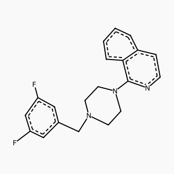 Fc1cc(F)cc(CN2CCN(c3nccc4ccccc34)CC2)c1